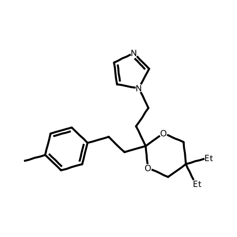 CCC1(CC)COC(CCc2ccc(C)cc2)(CCn2ccnc2)OC1